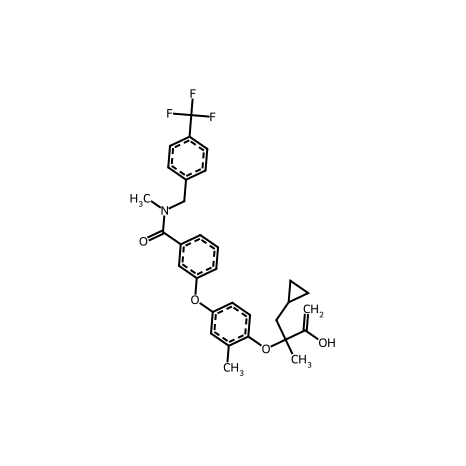 C=C(O)C(C)(CC1CC1)Oc1ccc(Oc2cccc(C(=O)N(C)Cc3ccc(C(F)(F)F)cc3)c2)cc1C